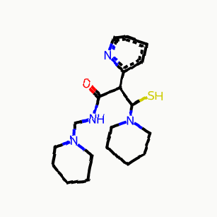 O=C(NCN1CCCCC1)C(c1ccccn1)C(S)N1CCCCC1